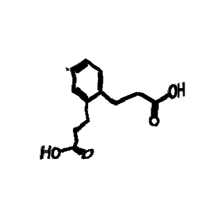 O=C(O)CCc1c[c]ccc1CCC(=O)O